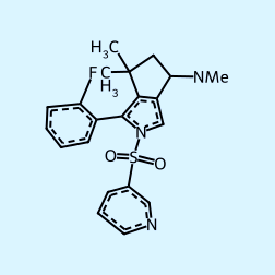 CNC1CC(C)(C)c2c1cn(S(=O)(=O)c1cccnc1)c2-c1ccccc1F